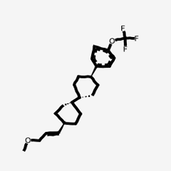 COCC=C[C@H]1CC[C@H]([C@H]2CC[C@H](c3ccc(OC(F)(F)F)cc3)CC2)CC1